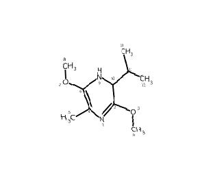 COC1=NC(C)=C(OC)NC1C(C)C